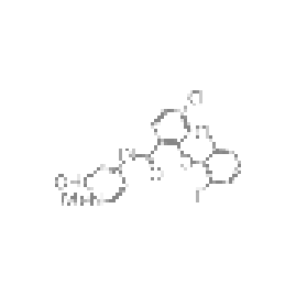 CN/C=C\C(=C/C=O)NC(=O)c1ccc(Cl)cc1Oc1c(F)cccc1Cl